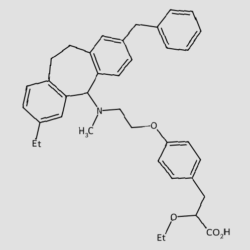 CCOC(Cc1ccc(OCCN(C)C2c3ccc(Cc4ccccc4)cc3CCc3ccc(CC)cc32)cc1)C(=O)O